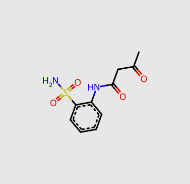 CC(=O)CC(=O)Nc1ccccc1S(N)(=O)=O